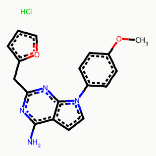 COc1ccc(-n2ccc3c(N)nc(Cc4ccco4)nc32)cc1.Cl